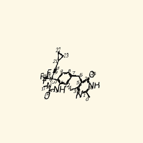 Cc1nc(C)c(Cc2ccc3c(c2)NC(=O)N(C)[C@]3(C#CC2CC2)C(F)(F)F)c(=O)[nH]1